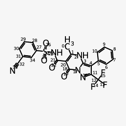 Cc1[nH]c2c(-c3ccccc3)c(C(F)(F)F)nn2c(=O)c1C(=O)NS(=O)(=O)c1cccc(C#N)c1